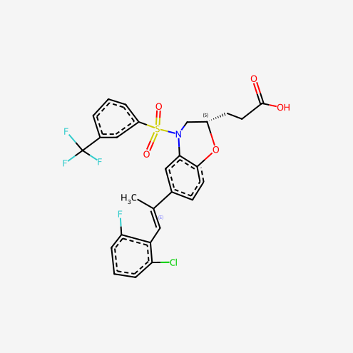 C/C(=C\c1c(F)cccc1Cl)c1ccc2c(c1)N(S(=O)(=O)c1cccc(C(F)(F)F)c1)C[C@H](CCC(=O)O)O2